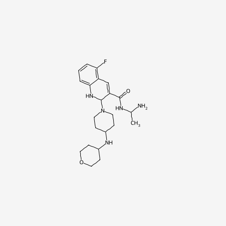 CC(N)NC(=O)C1=Cc2c(F)cccc2NC1N1CCC(NC2CCOCC2)CC1